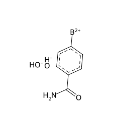 [B+2]c1ccc(C(N)=O)cc1.[OH-].[OH-]